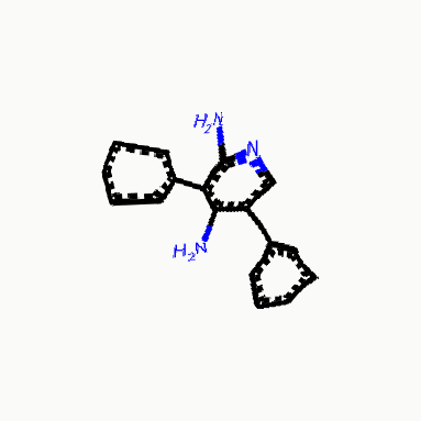 Nc1ncc(-c2ccccc2)c(N)c1-c1ccccc1